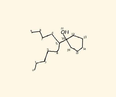 CCCCCC(CCCC)C1(O)CCCCC1